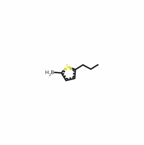 Bc1ccc(CCC)s1